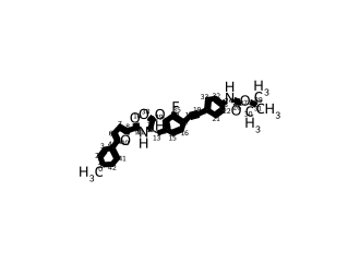 CC1C=CC(c2ccc(C(=O)N[C@@H](Cc3ccc(C#Cc4ccc(NC(=O)OC(C)(C)C)cc4)c(F)c3)C(=O)O)o2)=CC1